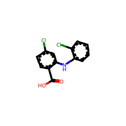 O=C(O)c1ccc(Cl)cc1Nc1ccccc1Cl